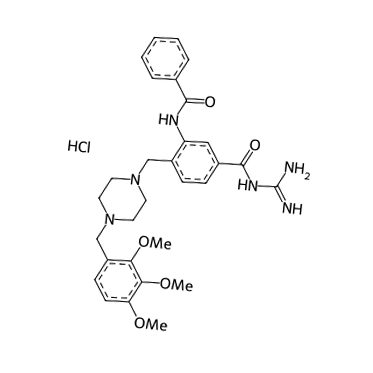 COc1ccc(CN2CCN(Cc3ccc(C(=O)NC(=N)N)cc3NC(=O)c3ccccc3)CC2)c(OC)c1OC.Cl